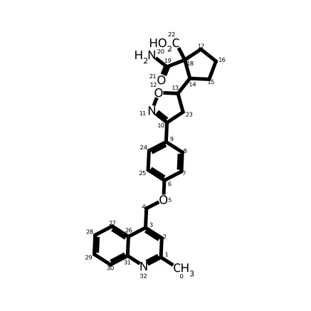 Cc1cc(COc2ccc(C3=NOC(C4CCCC4(C(N)=O)C(=O)O)C3)cc2)c2ccccc2n1